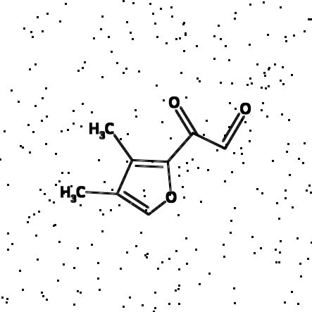 Cc1coc(C(=O)C=O)c1C